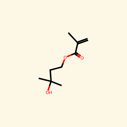 C=C(C)C(=O)OCCC(C)(C)O